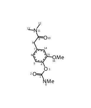 CNC(=O)Oc1ccc(CC(=O)N(C)C)cc1OC